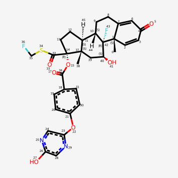 C[C@]12C=CC(=O)C=C1CC[C@H]1[C@@H]3CC[C@](OC(=O)c4ccc(Oc5cnc(O)cn5)cc4)(C(=O)SCF)[C@@]3(C)C[C@H](O)[C@@]12F